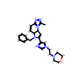 Cc1nnc2n1C1C=C(c3cn(CCN4CCOCC4)cn3)N(Cc3ccccc3)C1C=C2